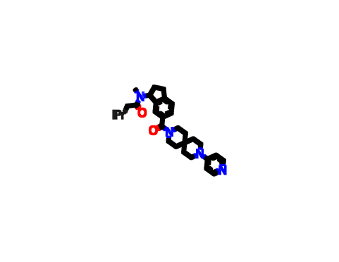 CC(C)CC(=O)N(C)C1CCc2ccc(C(=O)N3CCC4(CC3)CCN(c3ccncc3)CC4)cc21